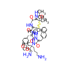 COc1ccc(C[C@H](NC(=O)[C@H]2NCC(=O)[C@@H](NC(C)=O)C(C)(C)SSC2(C)C)C(=O)N[C@@H](Cc2ccc3ccccc3c2)C(=O)NC(C)(CCCCN)C(=O)CN)cc1